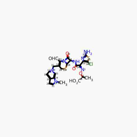 C[C@H](O/N=C(\C(=O)NC1C(=O)N2C(C=O)=C(C[n+]3ccc4ccn(C)c4c3)CSC12)c1nc(N)sc1Cl)C(=O)O